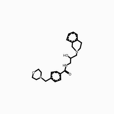 O=C(NCC(O)CN1CCc2ccccc2C1)c1ccc(CN2CCOCC2)cc1